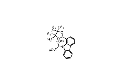 CCCCCCCCC(CCCCCCCC)n1c2ccccc2c2cccc(B3OC(C)(C)C(C)(C)O3)c21